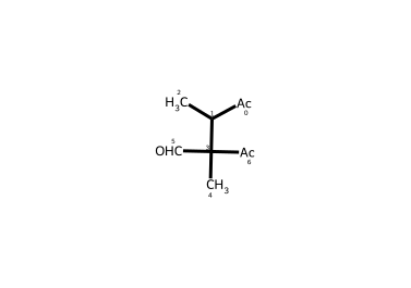 CC(=O)C(C)C(C)(C=O)C(C)=O